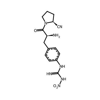 N#C[C@@H]1CCCN1C(=O)[C@@H](N)Cc1ccc(NC(=N)N[N+](=O)[O-])cc1